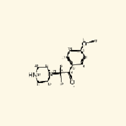 COc1ccc(C(=O)C(C)(C)N2CCNCC2)cc1